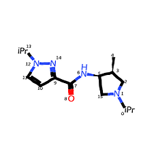 CC(C)N1C[C@H](C)[C@H](NC(=O)c2ccn(C(C)C)n2)C1